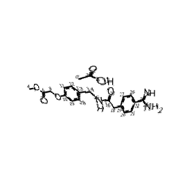 CC(=O)O.COC(=O)COc1ccc(CNC(=O)Cc2ccc(C(=N)N)cc2)cc1